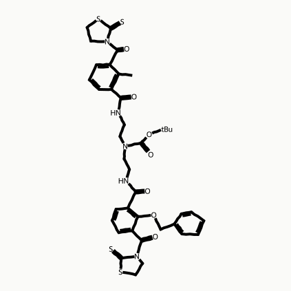 Cc1c(C(=O)NCCN(CCNC(=O)c2cccc(C(=O)N3CCSC3=S)c2OCc2ccccc2)C(=O)OC(C)(C)C)cccc1C(=O)N1CCSC1=S